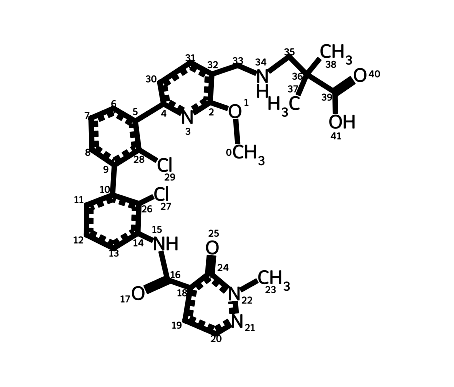 COc1nc(-c2cccc(-c3cccc(NC(=O)c4ccnn(C)c4=O)c3Cl)c2Cl)ccc1CNCC(C)(C)C(=O)O